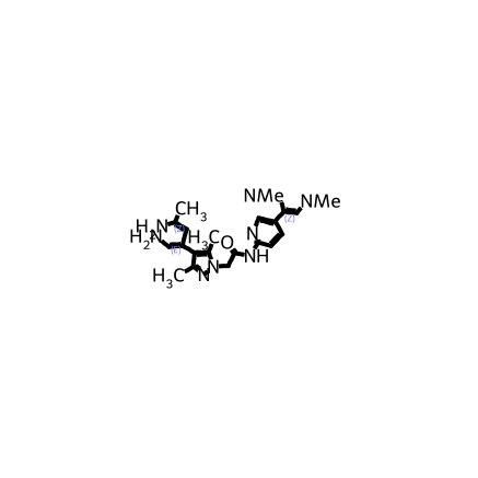 CN/C=C(\NC)c1ccc(NC(=O)Cn2nc(C)c(C(/C=C(/C)N)=C/N)c2C)nc1